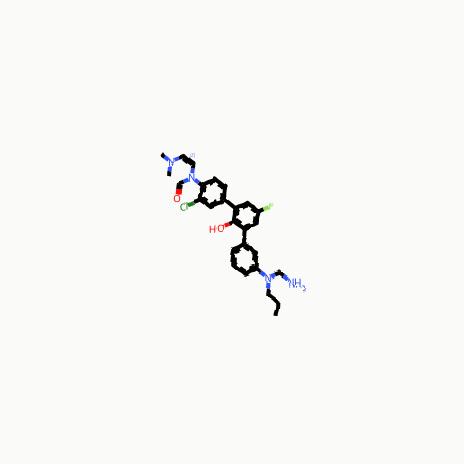 CCCN(CN)c1cccc(-c2cc(F)cc(-c3ccc(N(C=O)/C=C\N(C)C)c(Cl)c3)c2O)c1